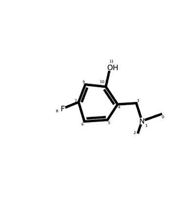 CN(C)Cc1ccc(F)cc1O